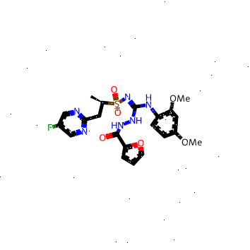 COc1ccc(N/C(=N/S(=O)(=O)[C@H](C)Cc2ncc(F)cn2)NNC(=O)c2ccco2)c(OC)c1